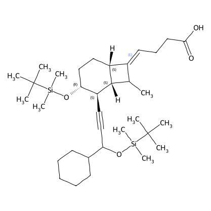 CC1/C(=C\CCC(=O)O)[C@H]2CC[C@@H](O[Si](C)(C)C(C)(C)C)[C@H](C#CC(O[Si](C)(C)C(C)(C)C)C3CCCCC3)[C@@H]12